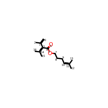 C=C(C)C(C(=O)OCCCC=C(C)C)=C(C)C